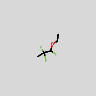 CCOC(F)C(C)(F)F